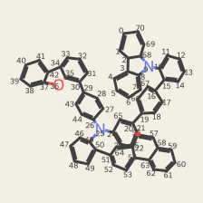 C1=CC2c3ccccc3N(c3ccccc3-c3ccc(-c4cccc(N(c5ccc(-c6cccc7c6oc6ccccc67)cc5)c5ccccc5-c5ccc6c(ccc7ccccc76)c5)c4)cc3)C2C=C1